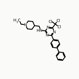 CCN1CCC(CNc2nc(-c3ccc(-c4ccccc4)cc3)nc(C(Cl)(Cl)Cl)n2)CC1